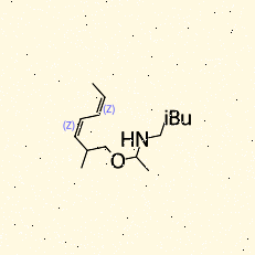 C/C=C\C=C/C(C)COC(C)NCC(C)CC